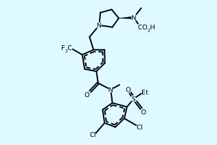 CCS(=O)(=O)c1c(Cl)cc(Cl)cc1N(C)C(=O)c1ccc(CN2CC[C@@H](N(C)C(=O)O)C2)c(C(F)(F)F)c1